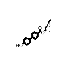 CCOC[C@H](C)OC(=O)c1ccc(-c2ccc(O)cc2)cc1